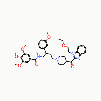 CCOCCn1c(C(=O)C2CCN(CCC(CN(C)C(=O)c3cc(OC)c(OC)c(OC)c3)c3cccc(OC)c3)CC2)nc2ccccc21